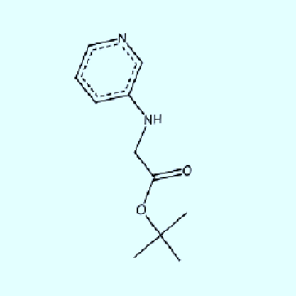 CC(C)(C)OC(=O)CNc1cccnc1